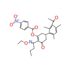 CCC/C(=N\OCC)C1=C(OC(=O)c2ccc([N+](=O)[O-])cc2)CC(c2c(C)cc(C)c(C(C)=O)c2C)CC1=O